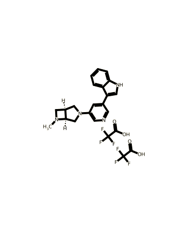 CN1C[C@H]2CN(c3cncc(-c4c[nH]c5ccccc45)c3)C[C@H]21.O=C(O)C(F)(F)F.O=C(O)C(F)(F)F